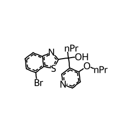 CCCOc1ccncc1C(O)(CCC)c1nc2cccc(Br)c2s1